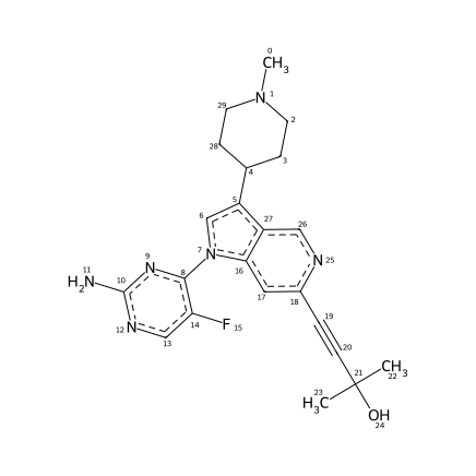 CN1CCC(c2cn(-c3nc(N)ncc3F)c3cc(C#CC(C)(C)O)ncc23)CC1